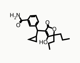 CCCC1(CCC)OC(=O)C(C(c2cccc(C(N)=O)c2)C2CC2)=C1O